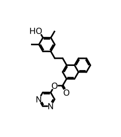 Cc1cc(CCc2cc(C(=O)Oc3cncnc3)cc3ccccc23)cc(C)c1O